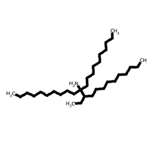 CCCCCCCCCCC(CC)C(N)(CCCCCCCCCC)CCCCCCCCCC